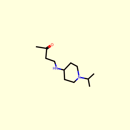 CC(=O)CCNC1CCN(C(C)C)CC1